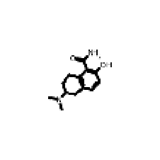 CN(C)C1CCc2c(ccc(O)c2C(N)=O)C1